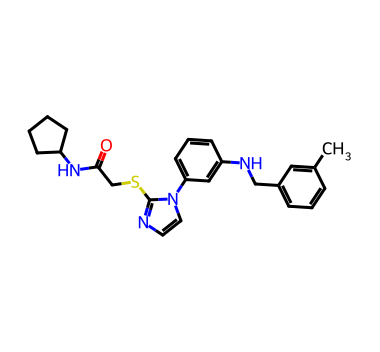 Cc1cccc(CNc2cccc(-n3ccnc3SCC(=O)NC3CCCC3)c2)c1